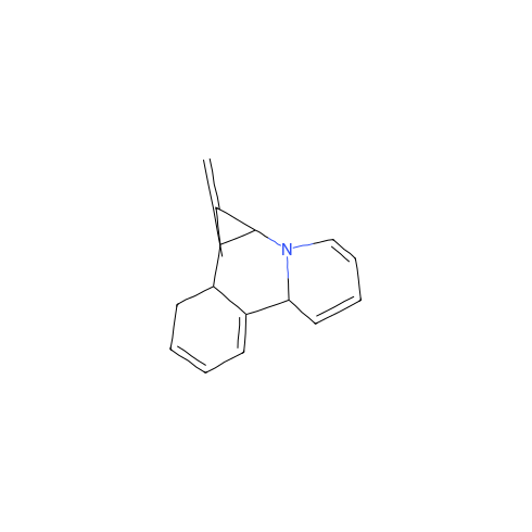 C=C1C2C3CC=CC=C3C3C=CC=CN3C12